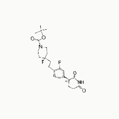 CC(C)(C)OC(=O)N1CCC(F)(CCc2ccc([C@@H]3CCC(=O)NC3=O)cc2F)CC1